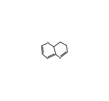 C1=C[N]C2CCC=NC2=C1